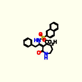 O=C1NCCCC(C(=O)O)C1=C(Cc1ccccc1)NS(=O)(=O)c1ccc2ccccc2c1